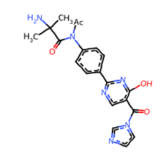 CC(=O)N(C(=O)C(C)(C)N)c1ccc(-c2ncc(C(=O)n3ccnc3)c(O)n2)cc1